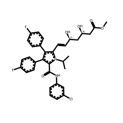 COC(=O)C[C@H](O)C[C@H](O)C=Cc1c(-c2ccc(F)cc2)c(-c2ccc(F)cc2)c(C(=O)Nc2cccc(Cl)c2)n1C(C)C